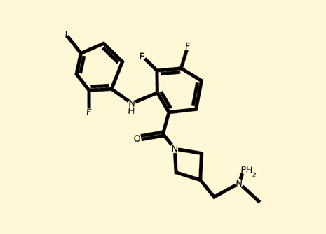 CN(P)CC1CN(C(=O)c2ccc(F)c(F)c2Nc2ccc(I)cc2F)C1